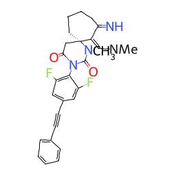 CN/C=C1\C(=N)CCCC[C@]12CC(=O)N(c1c(F)cc(C#Cc3ccccc3)cc1F)C(=O)N2C